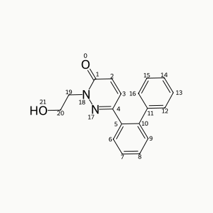 O=c1ccc(-c2ccccc2-c2ccccc2)nn1CCO